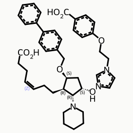 O=C(O)CC/C=C\CC[C@@H]1[C@@H](N2CCCCC2)[C@@H](O)C[C@@H]1OCc1ccc(-c2ccccc2)cc1.O=C(O)c1ccc(OCCn2ccnc2)cc1